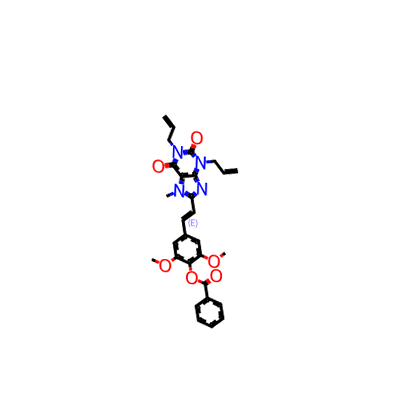 C=CCn1c(=O)c2c(nc(/C=C/c3cc(OC)c(OC(=O)c4ccccc4)c(OC)c3)n2C)n(CC=C)c1=O